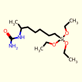 CCO[Si](CCCCCC(C)NC(N)=O)(OCC)OCC